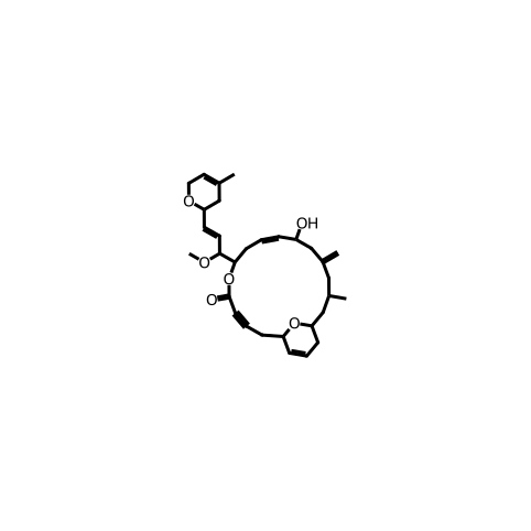 C=C1CC(O)C=CCC(C(C=CC2CC(C)=CCO2)OC)OC(=O)C#CCC2C=CCC(CC(C)C1)O2